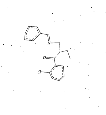 CCC(C/N=C/c1ccccc1)C(=O)c1ccccc1Cl